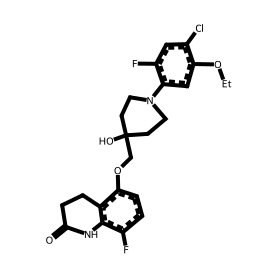 CCOc1cc(N2CCC(O)(COc3ccc(F)c4c3CCC(=O)N4)CC2)c(F)cc1Cl